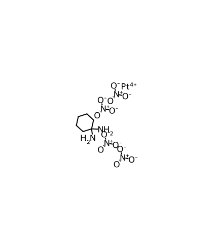 NC1(N)CCCCC1.O=[N+]([O-])[O-].O=[N+]([O-])[O-].O=[N+]([O-])[O-].O=[N+]([O-])[O-].[Pt+4]